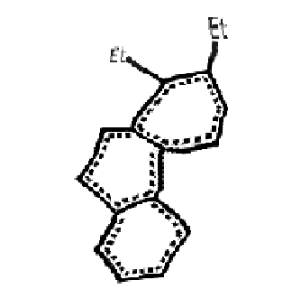 CCc1ccc2c(ccc3ccccc32)c1CC